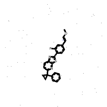 CO/C=C/c1ccc(-c2nc3ccc(C4(c5ccccc5)CC4)nc3s2)c(F)c1